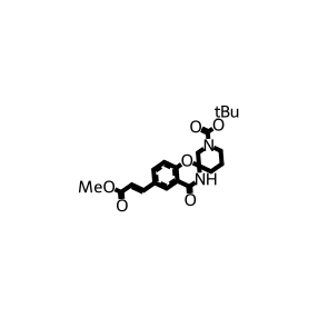 COC(=O)/C=C/c1ccc2c(c1)C(=O)NC1(CCCN(C(=O)OC(C)(C)C)C1)O2